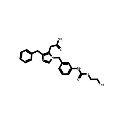 NC(=O)Cc1c(Cc2ccccc2)ncn1Cc1cccc(NC(=O)OCCO)c1